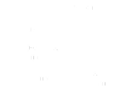 COc1ccc(C(O)C(C)OC(c2ccc(OC)cc2)C(C)O)cc1